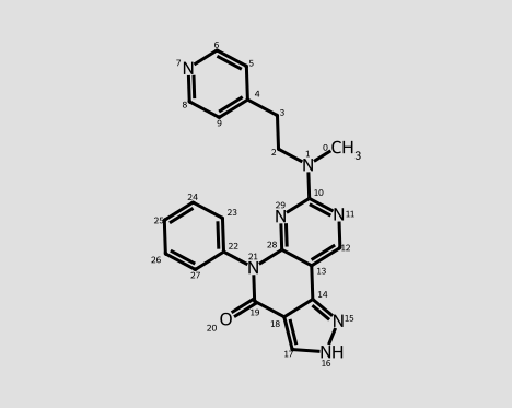 CN(CCc1ccncc1)c1ncc2c3n[nH]cc3c(=O)n(-c3ccccc3)c2n1